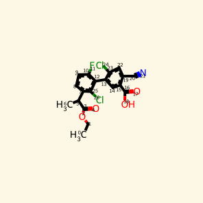 CCOC(=O)C(C)c1c[c]c(F)c(-c2cc(C(=O)O)c(C#N)cc2Cl)c1Cl